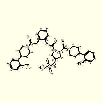 CC(C)(C)c1ccccc1C1CCN(C(=O)[C@H]2C[C@@H](OS(N)(=O)=O)CN2C(=O)Oc2ccccc2CC(=O)N2CCC(c3ccccc3C(F)(F)F)CC2)CC1